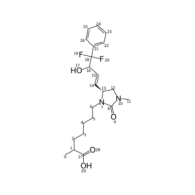 CC(CCCCCN1C(=O)N(C)C[C@@H]1C=CC(O)C(F)(F)c1ccccc1)C(=O)O